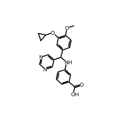 COc1ccc(C(Nc2cccc(C(=O)O)c2)c2cncnc2)cc1OC1CC1